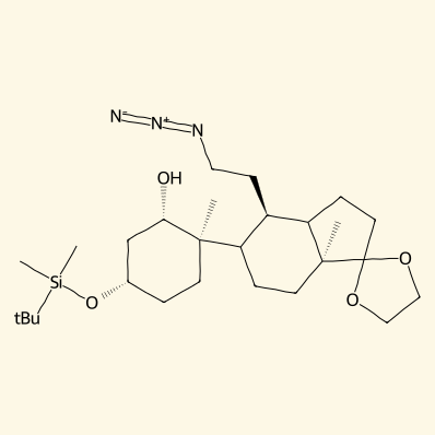 CC(C)(C)[Si](C)(C)O[C@H]1CC[C@](C)(C2CC[C@@]3(C)C(CCC34OCCO4)[C@@H]2CCN=[N+]=[N-])[C@@H](O)C1